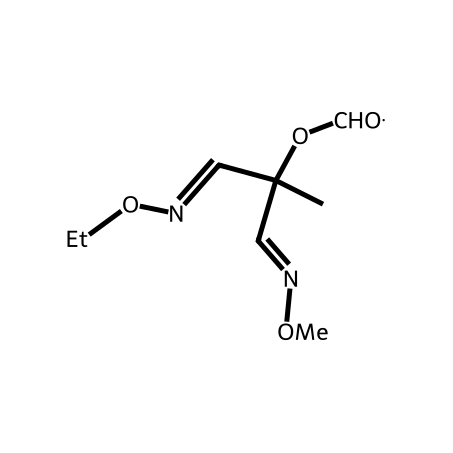 CCON=CC(C)(C=NOC)O[C]=O